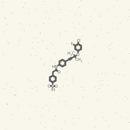 CCS(=O)(=O)c1ccc(CC(=O)Nc2ccc(C#CC(C)(C)Oc3ccc(Cl)c(F)c3)cc2)cc1